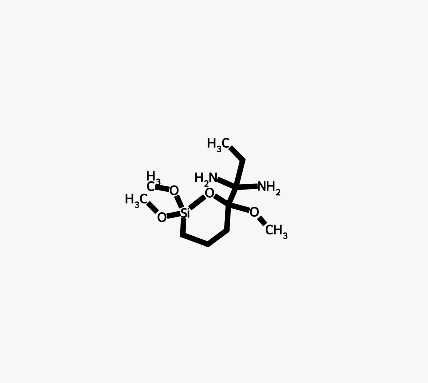 CCC(N)(N)C1(OC)CCC[Si](OC)(OC)O1